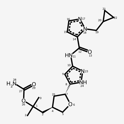 CC(C)(C[C@@H]1CO[C@@H](c2cc(NC(=O)c3ccnn3CC3CC3)n[nH]2)C1)OC(N)=O